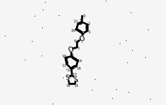 Cc1ccc(OCCOc2ccc(C3SCCS3)cc2)cc1